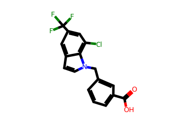 O=C(O)c1cccc(Cn2ccc3cc(C(F)(F)F)cc(Cl)c32)c1